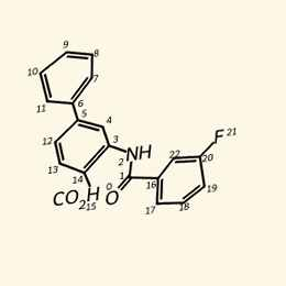 O=C(Nc1cc(-c2ccccc2)ccc1C(=O)O)c1cccc(F)c1